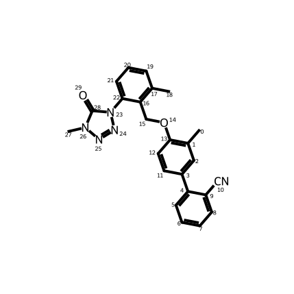 Cc1cc(-c2ccccc2C#N)ccc1OCc1c(C)cccc1-n1nnn(C)c1=O